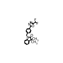 CC1(C)C(=O)N(Cc2ccc(-c3nnc(C(F)F)o3)cc2)c2ccccc21